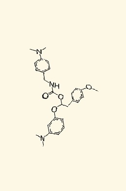 COc1ccc(CC(OC(=O)NCc2ccc(N(C)C)cc2)Oc2cccc(N(C)C)c2)cc1